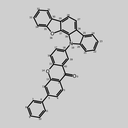 O=c1c2ccc(-c3ccccc3)cc2oc2ccc(-n3c4ccccc4c4ccc5c6ccccc6oc5c43)cc12